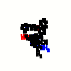 C=C(N)c1c(C#N)c(NCc2ccc(C3CC=CCC3)c(OCCCCN3CCCCC3)c2)n(C2OC(CO)C[C@@H]2C)c1/N=C\N